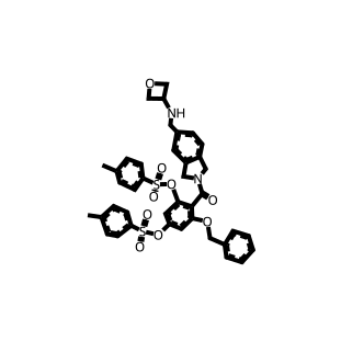 Cc1ccc(S(=O)(=O)Oc2cc(OCc3ccccc3)c(C(=O)N3Cc4ccc(CNC5COC5)cc4C3)c(OS(=O)(=O)c3ccc(C)cc3)c2)cc1